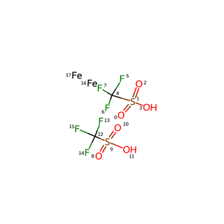 O=S(=O)(O)C(F)(F)F.O=S(=O)(O)C(F)(F)F.[Fe].[Fe]